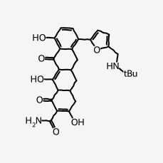 CC(C)(C)NCc1ccc(-c2ccc(O)c3c2CC2CC4CC(O)=C(C(N)=O)C(=O)C4C(O)=C2C3=O)o1